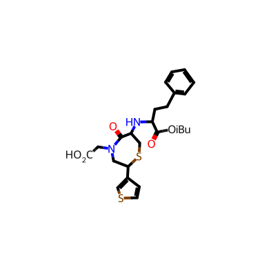 CC(C)COC(=O)C(CCc1ccccc1)NC1CSC(c2ccsc2)CN(CC(=O)O)C1=O